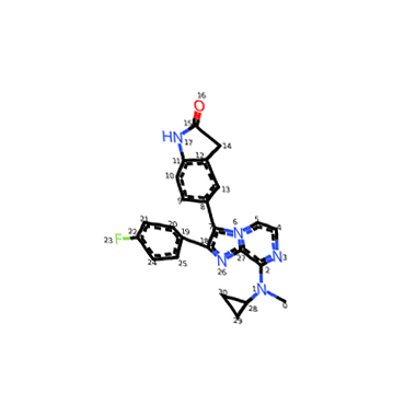 CN(c1nccn2c(-c3ccc4c(c3)CC(=O)N4)c(-c3ccc(F)cc3)nc12)C1CC1